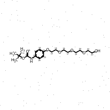 CC(C)(C)OC(=O)Nc1ccc(OCCOCCOCCOCCO)cc1